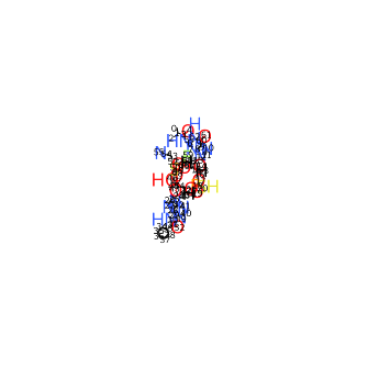 CC(C)C(=O)Nc1nc2c(ncn2[C@@H]2O[C@@H]3COP(=O)(S)O[C@H]4C[C@H](n5cnc6c(NC(=O)c7ccccc7)ncnc65)O[C@]4(CO)COP(=S)(OCCC#N)O[C@H]3[C@H]2F)c(=O)[nH]1